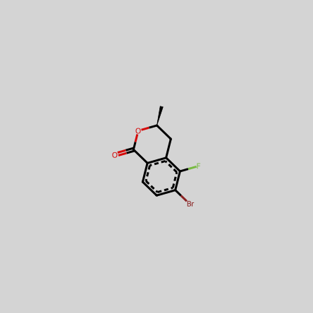 C[C@H]1Cc2c(ccc(Br)c2F)C(=O)O1